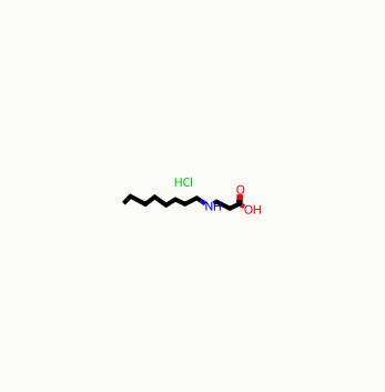 CCCCCCCCNCCC(=O)O.Cl